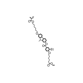 C=COC(=O)CCCCCOc1ccc(C(=O)Oc2ccc3c(c2)C(C)c2cc(OCCCCCCOC(=O)C(=C)F)ccc2-3)cc1CC